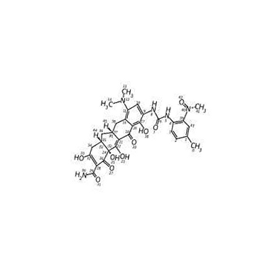 Cc1ccc(NC(=O)Nc2cc(N(C)C)c3c(c2O)C(=O)C2=C(O)[C@]4(O)C(=O)C(C(N)=O)=C(O)C[C@@H]4C[C@@H]2C3)c([N+](C)=O)c1